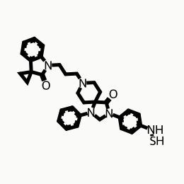 O=C1N(CCCN2CCC3(CC2)C(=O)N(c2ccc(NS)cc2)CN3c2ccccc2)c2ccccc2C12CC2